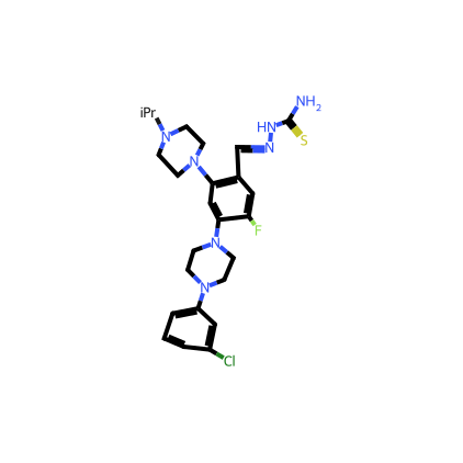 CC(C)N1CCN(c2cc(N3CCN(c4cccc(Cl)c4)CC3)c(F)cc2/C=N/NC(N)=S)CC1